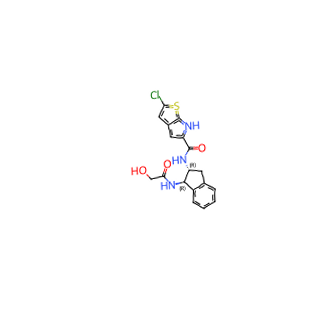 O=C(CO)N[C@@H]1c2ccccc2C[C@H]1NC(=O)c1cc2cc(Cl)sc2[nH]1